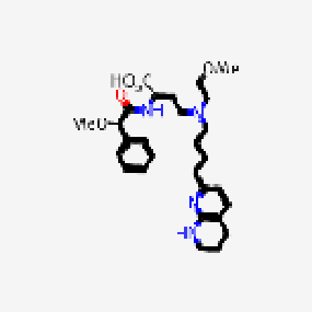 COCCN(CCCCc1ccc2c(n1)NCCC2)CC[C@H](NC(=O)[C@H](OC)c1ccccc1)C(=O)O